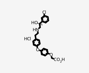 Cl.O=C(O)COc1ccc(Oc2ccc(CCNC[C@H](O)c3cccc(Cl)c3)cc2)cc1